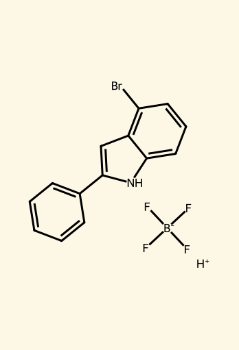 Brc1cccc2[nH]c(-c3ccccc3)cc12.F[B-](F)(F)F.[H+]